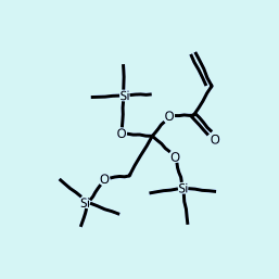 C=CC(=O)OC(CO[Si](C)(C)C)(O[Si](C)(C)C)O[Si](C)(C)C